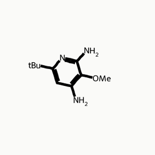 COc1c(N)cc(C(C)(C)C)nc1N